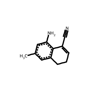 Cc1cc(N)c2c(c1)CCC=C2C#N